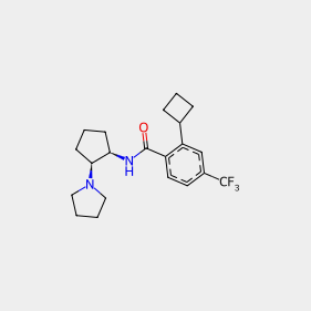 O=C(N[C@@H]1CCC[C@@H]1N1CCCC1)c1ccc(C(F)(F)F)cc1C1CCC1